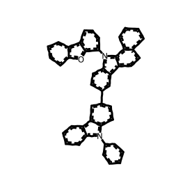 c1ccc(-n2c3ccccc3c3cc(-c4ccc5c(c4)c4ccc6ccccc6c4n5-c4cccc5c4oc4ccccc45)ccc32)cc1